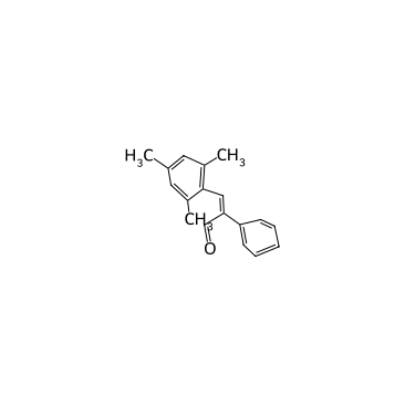 Cc1cc(C)c(C=C(C=O)c2ccccc2)c(C)c1